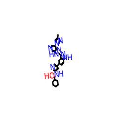 Cc1cn(-c2cncc3[nH]c(-c4n[nH]c5ccc(-c6cncc(NC(O)C7CCCCC7)c6)cc45)nc23)cn1